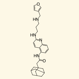 O=C(CC12CC3CC(CC(C3)C1)C2)Nc1cccc2nc(NCCCNCc3ccoc3)ccc12